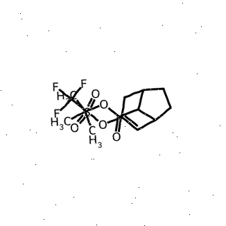 CC(C)(C)OC(=O)C1C2C=C(OS(=O)(=O)C(F)(F)F)CC1CC2